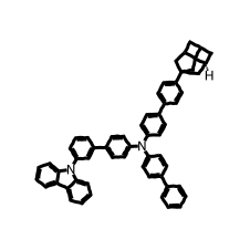 c1ccc(-c2ccc(N(c3ccc(-c4ccc(C56CC7CC8C[C@@H](C5)C87C6)cc4)cc3)c3ccc(-c4cccc(-n5c6ccccc6c6ccccc65)c4)cc3)cc2)cc1